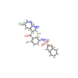 O=C(c1c(F)ccc(NS(=O)(=O)c2cc3ccccc3s2)c1F)c1c[nH]c2ncc(Cl)cc12